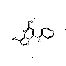 CC(C)(C)c1cc(Nc2ccncc2)n2ncc(Br)c2n1